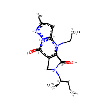 CCOC(=O)Cn1c2c(c(=O)n3nc(C(C)C)cc13)CN([C@H](C)COC)C2=O